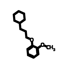 COc1ccccc1OCCCC1CCCCC1